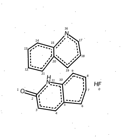 F.O=c1ccc2ccccc2[nH]1.c1ccc2ncccc2c1